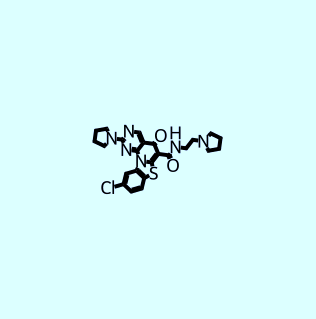 O=C(NCCN1CCCC1)c1c(=O)c2cnc(N3CCCC3)nc2n2c1sc1ccc(Cl)cc12